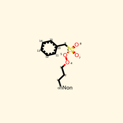 CCCCCCCCCCCCOOS(=O)(=O)Cc1ccccc1